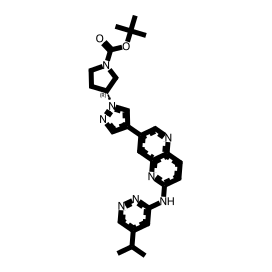 CC(C)c1cnnc(Nc2ccc3ncc(-c4cnn([C@@H]5CCN(C(=O)OC(C)(C)C)C5)c4)cc3n2)c1